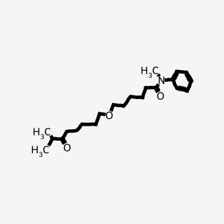 CC(C)C(=O)CCCCCOCCCCCC(=O)N(C)c1ccccc1